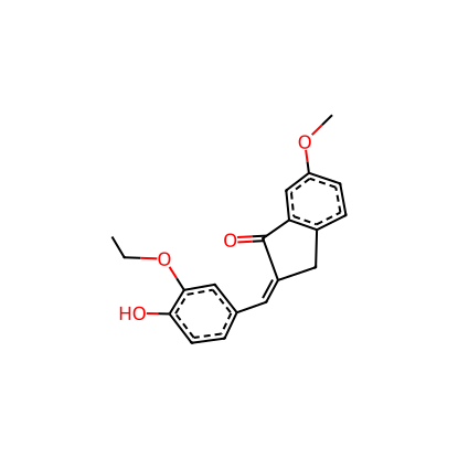 CCOc1cc(C=C2Cc3ccc(OC)cc3C2=O)ccc1O